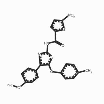 CCCOc1ccc(-c2nc(NC(=O)c3ccc([N+](=O)[O-])s3)sc2Oc2ccc(C)cc2)cc1